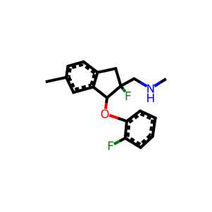 CNCC1(F)Cc2ccc(C)cc2C1Oc1ccccc1F